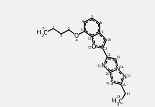 CCCCOc1cccc2cc(-c3cn4nc(CC)sc4n3)oc12